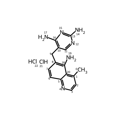 Cc1ccnc2ccc(Cc3cnc(N)nc3N)c(N)c12.Cl.Cl